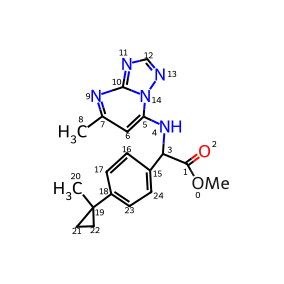 COC(=O)C(Nc1cc(C)nc2ncnn12)c1ccc(C2(C)CC2)cc1